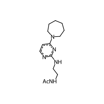 CC(=O)NCCNc1nccc(N2CCCCCC2)n1